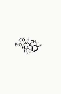 CCOC(=O)C(C(=O)O)C(C)(C)c1cc(F)ccc1C